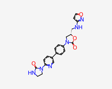 O=C1O[C@@H](CNc2ccon2)CN1c1ccc(-c2ccc(N3CCNC3=O)nc2)cc1